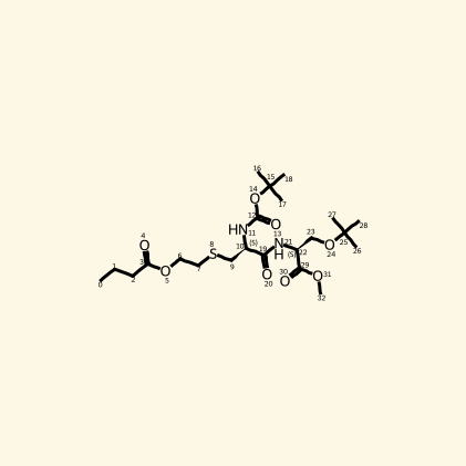 CCCC(=O)OCCSC[C@@H](NC(=O)OC(C)(C)C)C(=O)N[C@@H](COC(C)(C)C)C(=O)OC